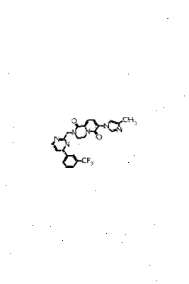 Cc1cn(-c2ccc3n(c2=O)CCN(Cc2nccc(-c4cccc(C(F)(F)F)c4)n2)C3=O)cn1